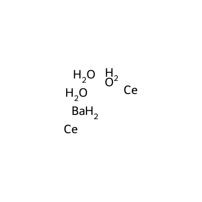 O.O.O.[BaH2].[Ce].[Ce]